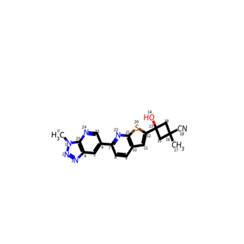 Cn1nnc2cc(-c3ccc4cc(C5(O)CC(C)(C#N)C5)sc4n3)cnc21